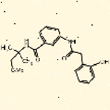 COCC(C)(C)NC(=O)c1cccc(NC(=O)Cc2ccccc2O)c1